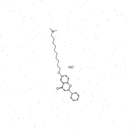 CN(C)CCCCCCCCCCOc1ccc2oc(-c3ccccc3)cc(=O)c2c1.Cl